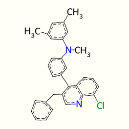 Cc1cc(C)cc(N(C)c2cccc(-c3c(Cc4ccccc4)cnc4c(Cl)cccc34)c2)c1